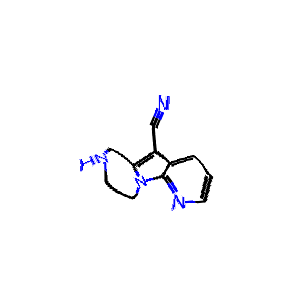 N#Cc1c2n(c3ncccc13)CCNC2